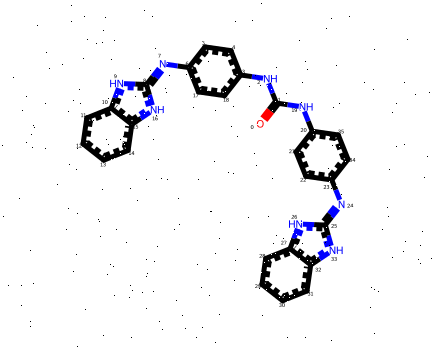 O=C(Nc1ccc(N=c2[nH]c3ccccc3[nH]2)cc1)Nc1ccc(N=c2[nH]c3ccccc3[nH]2)cc1